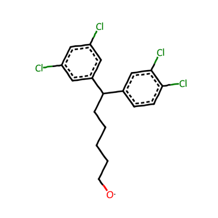 [O]CCCCCC(c1cc(Cl)cc(Cl)c1)c1ccc(Cl)c(Cl)c1